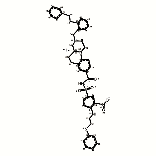 O=C(NS(=O)(=O)c1ccc(NCCSc2ccccc2)c([N+](=O)[O-])c1)c1ccc2c(c1)CC[C@H]1CN(Cc3ccccc3CCc3ccccc3)CCN21